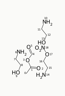 CC(=O)OC=O.NCCO.NCCO.NCCO[N+](=O)[O-]